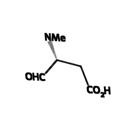 CN[C@@H](C=O)CC(=O)O